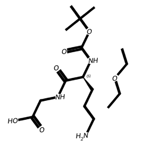 CC(C)(C)OC(=O)N[C@@H](CCCN)C(=O)NCC(=O)O.CCOCC